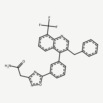 NC(=O)Cc1noc(-c2cccc(-c3c(Cc4ccccc4)cnc4c(C(F)(F)F)cccc34)c2)n1